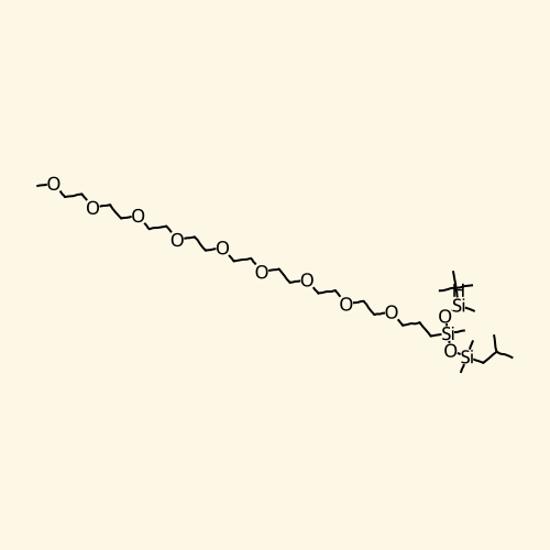 COCCOCCOCCOCCOCCOCCOCCOCCOCCC[Si](C)(O[SiH](C)C(C)(C)C)O[Si](C)(C)CC(C)C